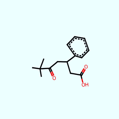 CC(C)(C)C(=O)CC(CC(=O)O)c1ccccc1